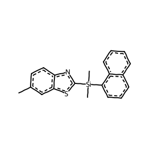 Cc1ccc2nc([Si](C)(C)c3cccc4ccccc34)sc2c1